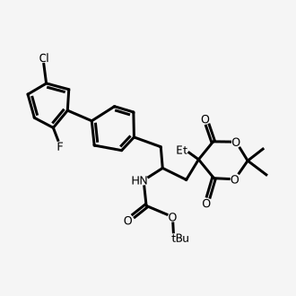 CCC1(CC(Cc2ccc(-c3cc(Cl)ccc3F)cc2)NC(=O)OC(C)(C)C)C(=O)OC(C)(C)OC1=O